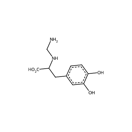 NCNC(Cc1ccc(O)c(O)c1)C(=O)O